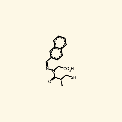 C[C@H](CS)C(=O)N(CC(=O)O)/N=C\c1ccc2ccccc2c1